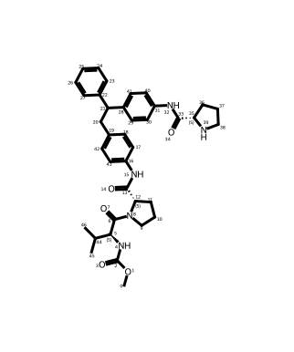 COC(=O)N[C@H](C(=O)N1CCC[C@H]1C(=O)Nc1ccc(CC(c2ccccc2)c2ccc(NC(=O)[C@@H]3CCCN3)cc2)cc1)C(C)C